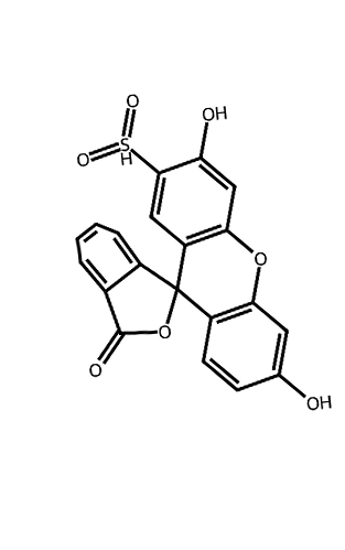 O=C1OC2(c3ccc(O)cc3Oc3cc(O)c([SH](=O)=O)cc32)c2ccccc21